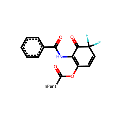 CCCCCC(=O)OC1=C(NC(=O)c2ccccc2)C(=O)C(F)(F)C=C1